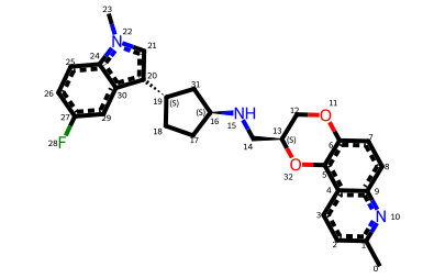 Cc1ccc2c3c(ccc2n1)OC[C@H](CN[C@H]1CC[C@H](c2cn(C)c4ccc(F)cc24)C1)O3